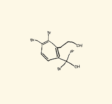 OCc1c(C(O)(Br)Br)ccc(Br)c1Br